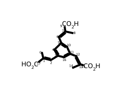 CC(=Cc1cc(C=C(C)C(=O)O)cc(C=C(C)C(=O)O)c1)C(=O)O